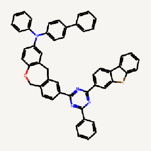 c1ccc(-c2ccc(N(c3ccccc3)c3ccc4c(c3)Cc3cc(-c5nc(-c6ccccc6)nc(-c6ccc7c(c6)sc6ccccc67)n5)ccc3CO4)cc2)cc1